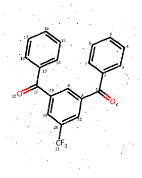 O=C(c1ccccc1)c1cc(C(=O)c2ccccc2)cc(C(F)(F)F)c1